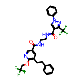 O=C(NCCNC(=O)c1cn(-c2ccccc2)nc1C(F)(F)F)c1cnc(OCC(F)(F)F)c(CCc2ccccc2)c1